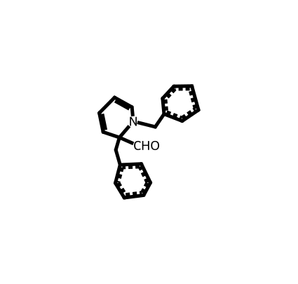 O=CC1(Cc2ccccc2)C=CC=CN1Cc1ccccc1